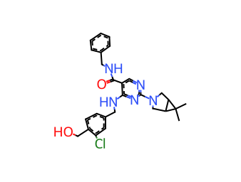 CC1(C)C2CN(c3ncc(C(=O)NCc4ccccc4)c(NCc4ccc(CO)c(Cl)c4)n3)CC21